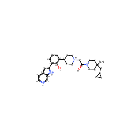 N#CC1(CC2CC2)CCN(C(=O)CN2CCC(c3cccc(-c4cc5ccncc5[nH]4)c3O)CC2)CC1